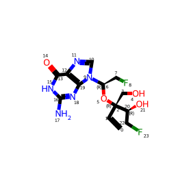 C=C[C@](CO)(O[C@H](CF)n1cnc2c(=O)[nH]c(N)nc21)[C@@H](O)CF